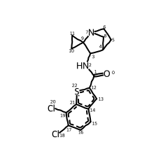 O=C(NC1C2CCN(C2)C12CC2)c1cc2ccc(Cl)c(Cl)c2s1